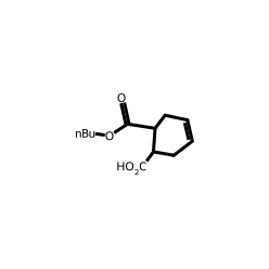 CCCCOC(=O)C1CC=CCC1C(=O)O